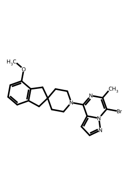 COc1cccc2c1CC1(CCN(c3nc(C)c(Br)n4nccc34)CC1)C2